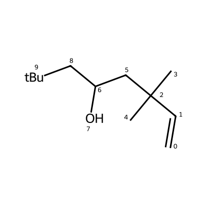 C=CC(C)(C)CC(O)CC(C)(C)C